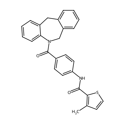 Cc1ccsc1C(=O)Nc1ccc(C(=O)N2Cc3ccccc3Cc3ccccc32)cc1